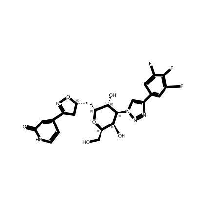 O=c1cc(C2=NO[C@H](C[C@H]3O[C@H](CO)[C@H](O)[C@H](n4cc(-c5cc(F)c(F)c(F)c5)nn4)[C@H]3O)C2)cc[nH]1